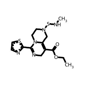 CCOC(=O)C1=C2CN(SNC)CCN2C(c2nccs2)=NC1